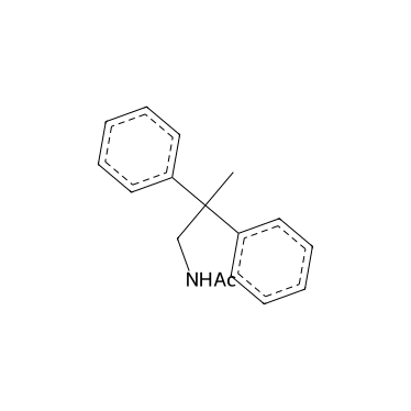 CC(=O)NCC(C)(c1ccccc1)c1ccccc1